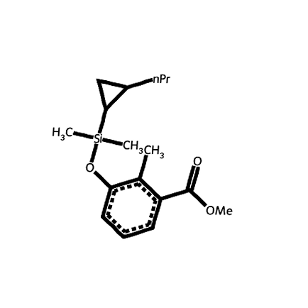 CCCC1CC1[Si](C)(C)Oc1cccc(C(=O)OC)c1C